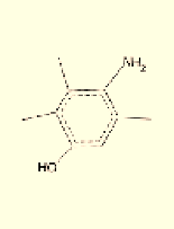 Cc1cc(O)c(C)c(C)c1N